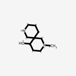 CN1CCC(O)C2(CCC[N]C2)C1